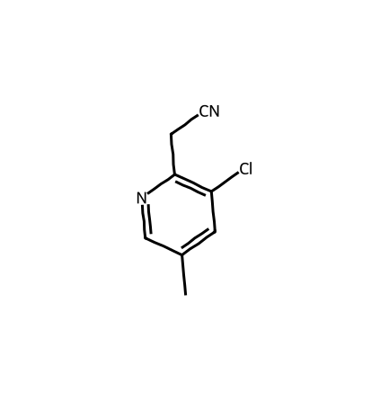 Cc1cnc(CC#N)c(Cl)c1